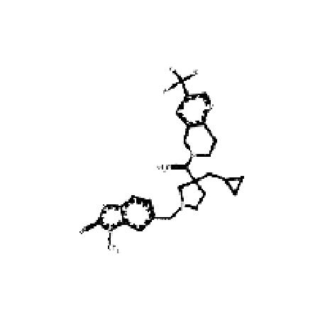 C=C(N1CCc2ncc(C(F)(F)F)cc2C1)C1(CC2CC2)CCN(Cc2ccc3sc(=O)n(C)c3c2)C1